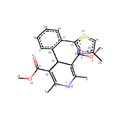 COC(=O)C1=C(C)NC(C)=C(C(=O)OC)C1c1ccccc1-c1nc(C)cs1